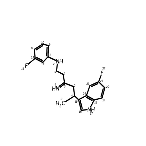 CC(CC(=N)CCNc1cccc(F)c1)c1c[nH]c2ccc(F)cc12